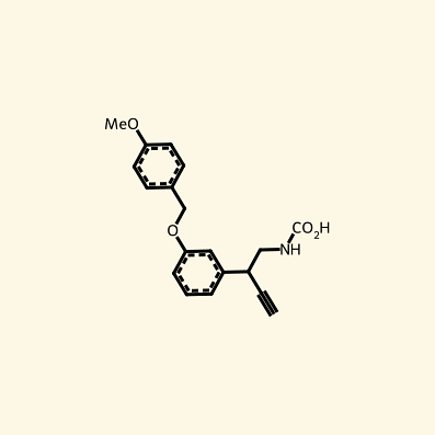 C#CC(CNC(=O)O)c1cccc(OCc2ccc(OC)cc2)c1